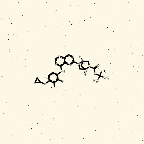 CC(C)(C)OC(=O)N1C[C@@H]2C[C@H]1CN2c1ncc2ncnc(Nc3ccc(OC4CC4)c(Cl)c3F)c2n1